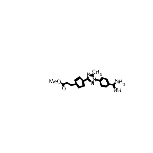 COC(=O)CCc1ccc(-c2nc(C)n(-c3ccc(C(=N)N)cc3)n2)cc1